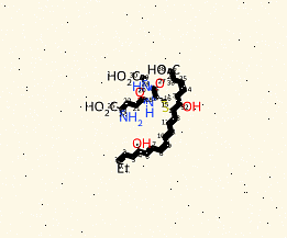 CC/C=C\C[C@H](O)/C=C/C=C\C=C\C=C[C@H](SC[C@H](NC(=O)CC[C@H](N)C(=O)O)C(=O)NCC(=O)O)[C@H](O)C/C=C\CCC(=O)O